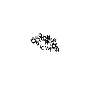 COCCCN1CC(C(=O)N2CC3C(C2)[C@@H]2CN(C(=O)c4ccc5[nH]nnc5c4)C[C@H]32)Cc2ccccc21